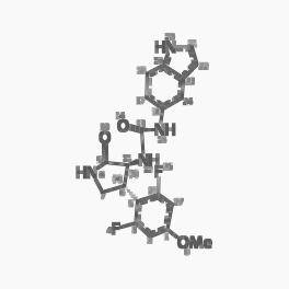 COc1cc(F)c([C@@H]2CNC(=O)[C@H]2NC(=O)Nc2ccc3[nH]ccc3c2)c(F)c1